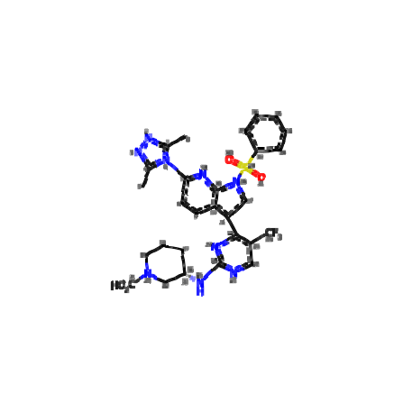 Cc1nnc(C)n1-c1ccc2c(-c3nc(N[C@H]4CCCN(C(=O)O)C4)ncc3C(F)(F)F)cn(S(=O)(=O)c3ccccc3)c2n1